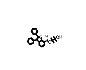 CC(C)(O)C(C)(C)OBc1cccc2c(-c3ccccc3)c(-c3ccccc3)sc12